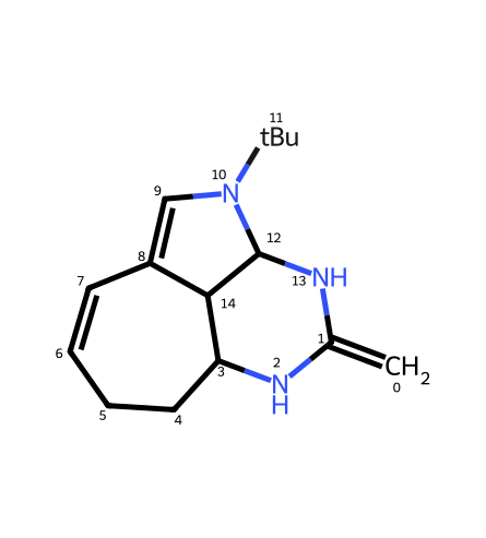 C=C1NC2CCC=CC3=CN(C(C)(C)C)C(N1)C32